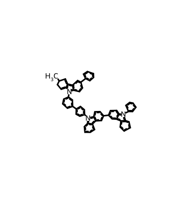 CC1C=c2c(n(-c3cccc(-c4ccc(-n5c6ccccc6c6cc(-c7ccc8c(c7)c7ccccc7n8-c7ccccc7)ccc65)cc4)c3)c3ccc(-c4ccccc4)cc23)=CC1